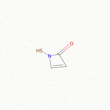 O=C1C=CN1S